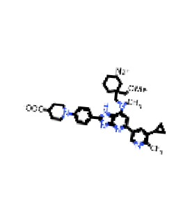 COCC1(CN(C)c2cc(-c3cnc(C(F)(F)F)c(C4CC4)c3)nc3nc(-c4ccc(N5CCC(C(=O)[O-])CC5)cc4)[nH]c23)CCCCC1.[Na+]